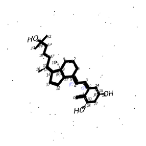 C=C1/C(=C\C=C2/CCC[C@@]3(C)C2CCC3[C@@H](C)CCCC(C)(C)O)C[C@@H](O)C[C@@H]1O